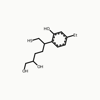 CCc1ccc(C(CS)CCC(O)CO)c(O)c1